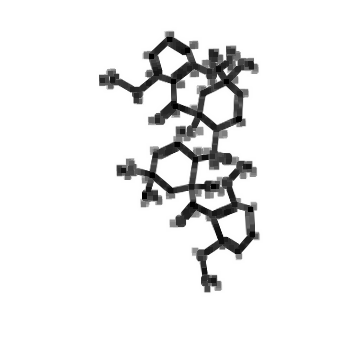 COc1cccc(OC)c1C(=O)C1(C)CC(C)(C)C=CC1[PH](=O)C1C=CC(C)(C)CC1(C)C(=O)c1c(OC)cccc1OC